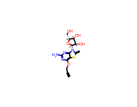 C#CCOc1nc(N)nc2c1SC(=C)N2[C@@H]1O[C@H](CO)[C@@H](O)[C@H]1O